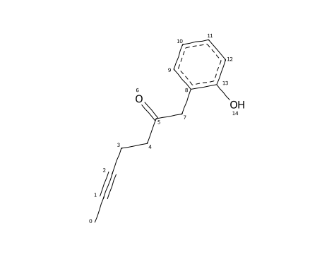 CC#CCCC(=O)Cc1ccccc1O